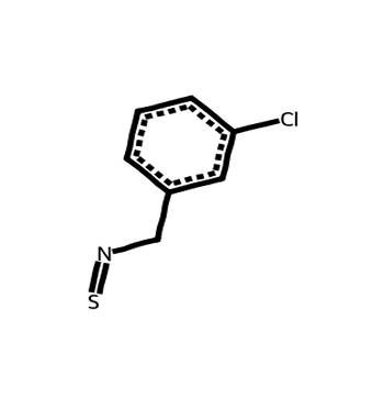 S=NCc1cccc(Cl)c1